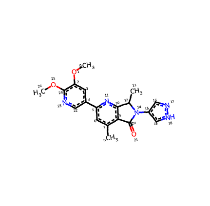 COc1cc(-c2cc(C)c3c(n2)C(C)N(c2cn[nH]c2)C3=O)cnc1OC